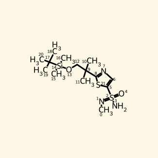 CN=S(N)(=O)c1cnc(C(C)(C)CO[Si](C)(C)C(C)(C)C)s1